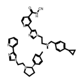 CN(CCn1cnc(-c2cc(C(=O)NC#N)ccn2)c1)Cc1ccc(C2CC2)cc1.Cc1ccc([C@H]2CCCN2CCn2cnc(-c3ccccn3)c2)cc1